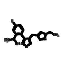 CCn1cc(Cc2conc2-c2ccc(F)cc2C(C)O)cn1